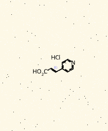 Cl.O=C(O)/C=C/c1ccncc1